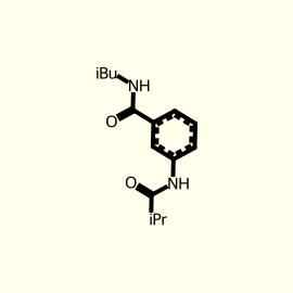 CCC(C)NC(=O)c1cccc(NC(=O)C(C)C)c1